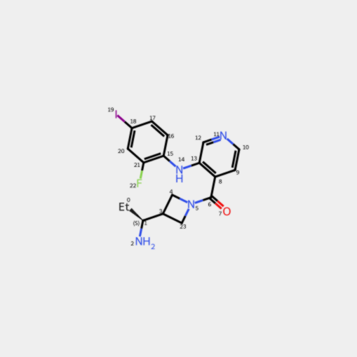 CC[C@H](N)C1CN(C(=O)c2ccncc2Nc2ccc(I)cc2F)C1